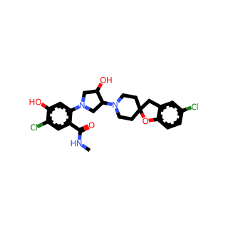 CNC(=O)c1cc(Cl)c(O)cc1N1CC(O)C(N2CCC3(CC2)Cc2cc(Cl)ccc2O3)C1